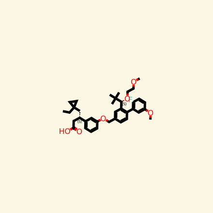 CCC1(C[C@@H](CC(=O)O)c2cccc(OCc3ccc(-c4cc(OC)ccc4F)c([C@@H](OCCOC)C(C)(C)C)c3)c2)CC1